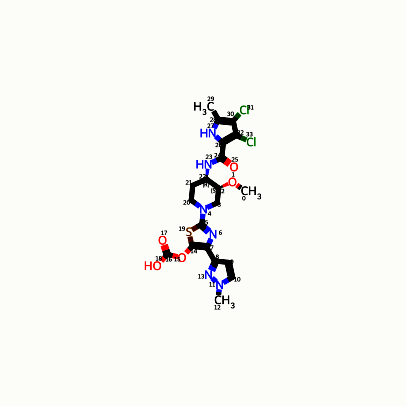 CO[C@H]1CN(c2nc(-c3ccn(C)n3)c(OC(=O)O)s2)CC[C@H]1NC(=O)c1[nH]c(C)c(Cl)c1Cl